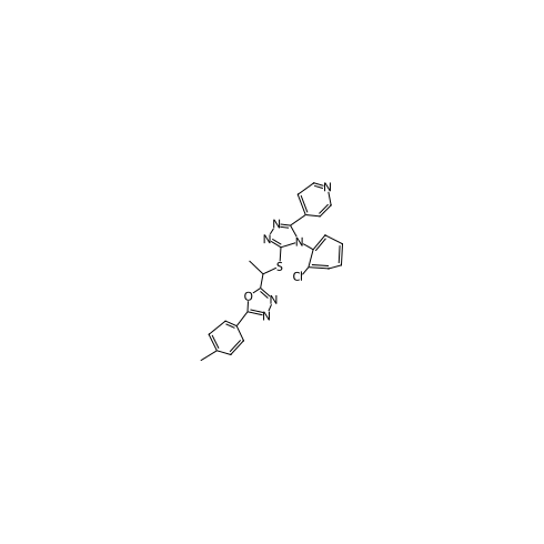 Cc1ccc(-c2nnc(C(C)Sc3nnc(-c4ccncc4)n3-c3ccccc3Cl)o2)cc1